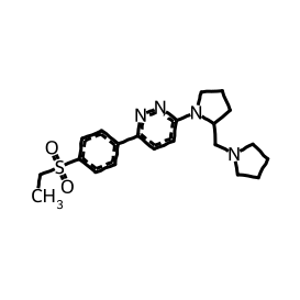 CCS(=O)(=O)c1ccc(-c2ccc(N3CCCC3CN3CCCC3)nn2)cc1